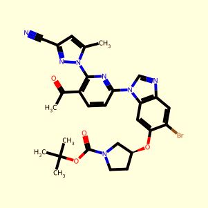 CC(=O)c1ccc(-n2cnc3cc(Br)c(O[C@H]4CCN(C(=O)OC(C)(C)C)C4)cc32)nc1-n1nc(C#N)cc1C